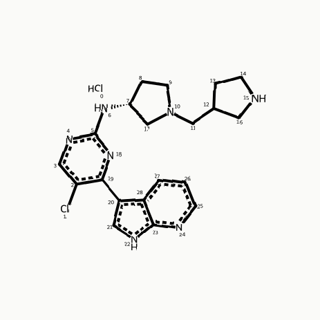 Cl.Clc1cnc(N[C@@H]2CCN(CC3CCNC3)C2)nc1-c1c[nH]c2ncccc12